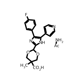 CC(N)=O.CC1(C(=O)O)COC(c2nc(-c3ccc(F)cc3)c(-c3ccncc3)[nH]2)OC1